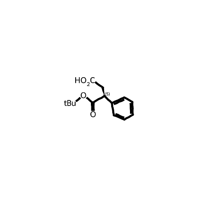 CC(C)(C)OC(=O)[C@@H](CC(=O)O)c1ccccc1